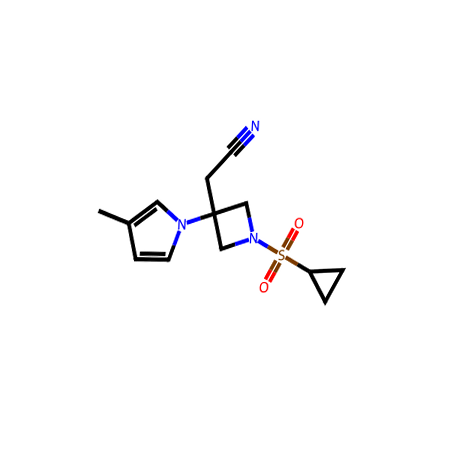 Cc1ccn(C2(CC#N)CN(S(=O)(=O)C3CC3)C2)c1